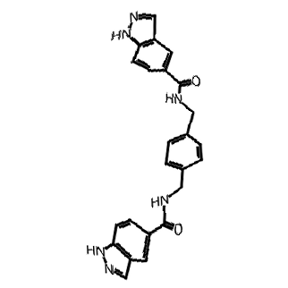 O=C(NCc1ccc(CNC(=O)c2ccc3[nH]ncc3c2)cc1)c1ccc2[nH]ncc2c1